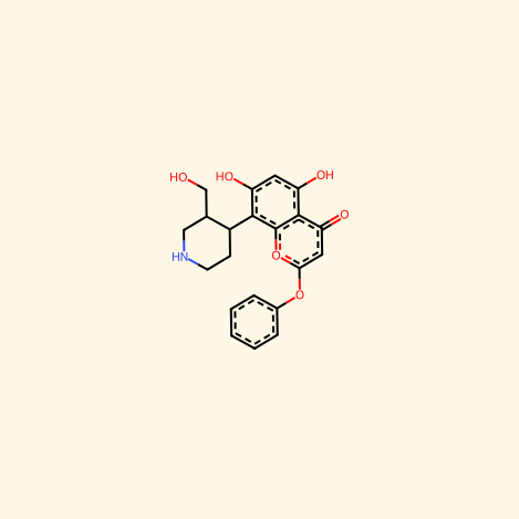 O=c1cc(Oc2ccccc2)oc2c(C3CCNCC3CO)c(O)cc(O)c12